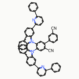 N#Cc1cccc(-c2cc(-n3c4ccccc4c4ccc(-c5cccc(-c6ccccc6)n5)cc43)c(-n3c4ccccc4c4ccc(-c5cccc(-c6ccccc6)n5)cc43)cc2C#N)c1